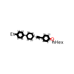 CCCCCCOc1ccc(C#C[C@H]2CC[C@H](c3ccc(CC)cc3)CC2)cc1